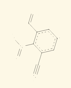 C=[C]c1cccc(C#N)c1[N+](=O)[O-]